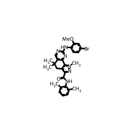 COc1cc(Br)ccc1Nc1ncc2c(n1)-c1c(c(C(=O)Nc3c(C)cccc3C)nn1C)CC2(C)C